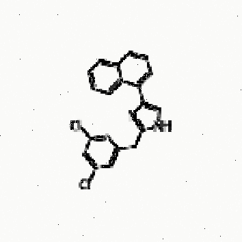 Clc1cc(Cl)cc(Cc2nc(-c3cccc4ccccc34)c[nH]2)c1